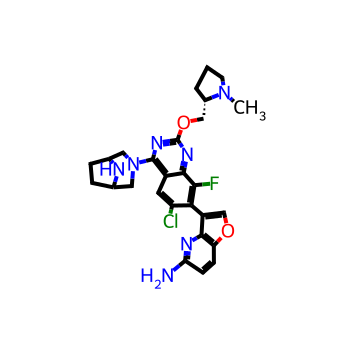 CN1CCC[C@H]1COc1nc(N2CC3CCC(C2)N3)c2cc(Cl)c(-c3coc4ccc(N)nc34)c(F)c2n1